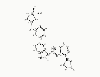 Cc1cn(-c2cccc3[nH]c(-c4n[nH]c5ccc(-c6cncc(CN7CCC(F)(F)C7)c6)cc45)cc23)cn1